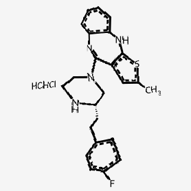 Cc1cc2c(s1)Nc1ccccc1N=C2N1CCN[C@@H](CCc2ccc(F)cc2)C1.Cl.Cl